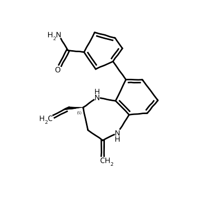 C=C[C@@H]1CC(=C)Nc2cccc(-c3cccc(C(N)=O)c3)c2N1